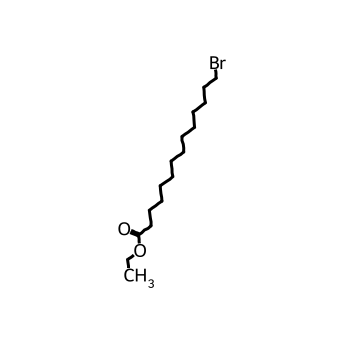 CCOC(=O)CCCCCCCCCCCCCBr